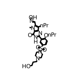 CCCOc1ccc(S(=O)(=O)N2CCN(CCCO)CC2)cc1-c1nc2c(CCC)c(/C=N/O)n(C)c2c(=O)[nH]1